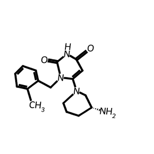 Cc1ccccc1Cn1c(N2CCC[C@@H](N)C2)cc(=O)[nH]c1=O